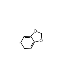 [C]1C=C2OCOC2=CC1